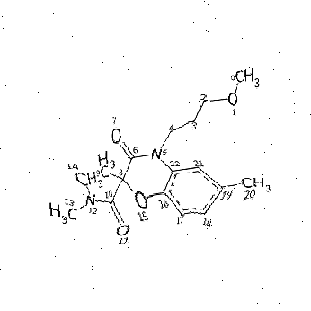 COCCCN1C(=O)C(C)(C(=O)N(C)C)Oc2ccc(C)cc21